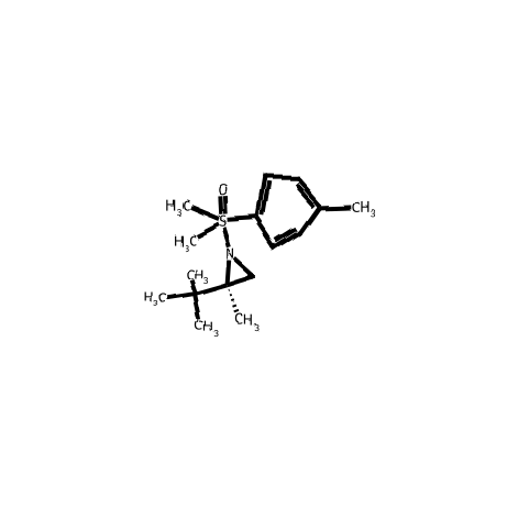 Cc1ccc(S(C)(C)(=O)N2C[C@@]2(C)C(C)(C)C)cc1